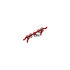 CCCCC#CCCOC(CCCC(=O)OCCCCCCN(CCO)CCCCCCOC(=O)CCCC(OCCC#CCCCC)OCCC#CCCCC)OCCC#CCCCC